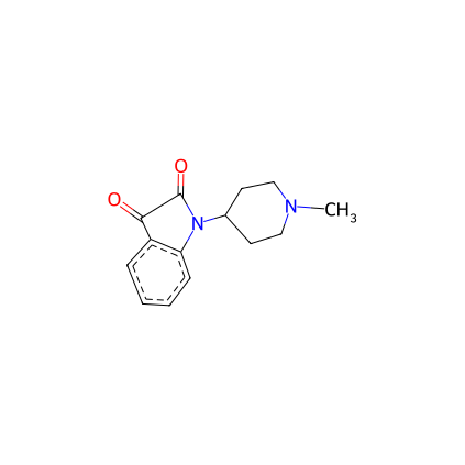 CN1CCC(N2C(=O)C(=O)c3ccccc32)CC1